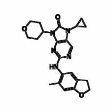 Cc1cc2c(cc1Nc1ncc3c(n1)n(C1CCOCC1)c(=O)n3C1CC1)CCO2